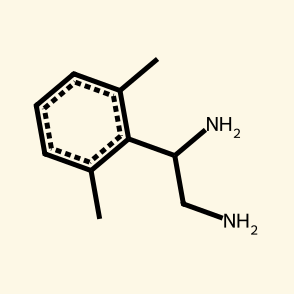 Cc1cccc(C)c1C(N)CN